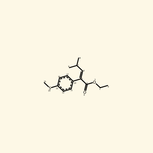 CCOC(=O)/C(=C/C(C)C)c1ccc(SC)cc1